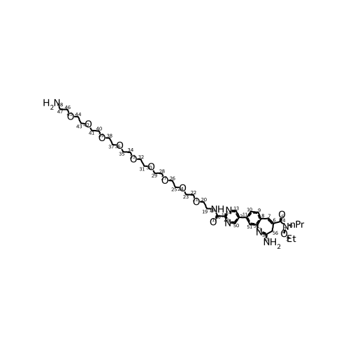 CCCN(OCC)C(=O)C1=Cc2ccc(-c3cnc(C(=O)NCCOCCOCCOCCOCCOCCOCCOCCOCCOCCN)nc3)cc2N=C(N)C1